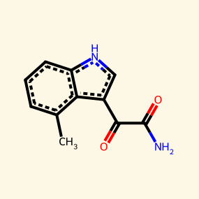 Cc1cccc2[nH]cc(C(=O)C(N)=O)c12